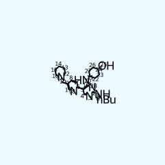 CCCCNc1ncc(-c2ccc(CN3CCCCC3)cn2)c(N[C@H]2CC[C@H](O)CC2)n1